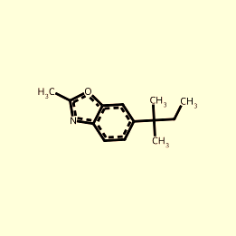 CCC(C)(C)c1ccc2nc(C)oc2c1